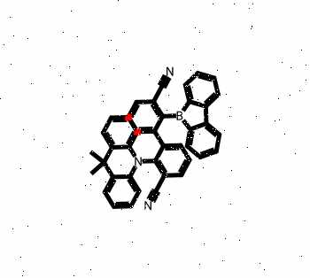 CC1(C)c2ccccc2N(c2c(C#N)cccc2-c2cccc(C#N)c2B2c3ccccc3-c3ccccc32)c2ccccc21